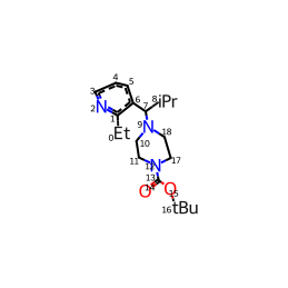 CCc1ncccc1C(C(C)C)N1CCN(C(=O)OC(C)(C)C)CC1